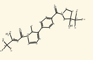 CC1C(c2ccc(C(=O)N3CCC(O)(C(F)(F)F)C3)cc2)=CC=CN1C(=O)/C=C(\N)C(F)(F)F